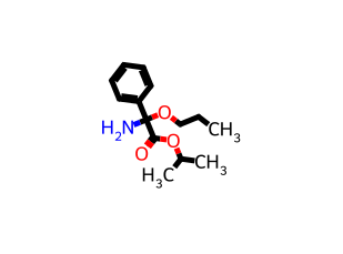 CCCOC(N)(C(=O)OC(C)C)c1ccccc1